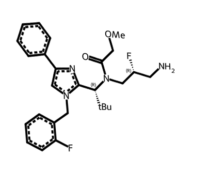 COCC(=O)N(C[C@H](F)CN)[C@@H](c1nc(-c2ccccc2)cn1Cc1ccccc1F)C(C)(C)C